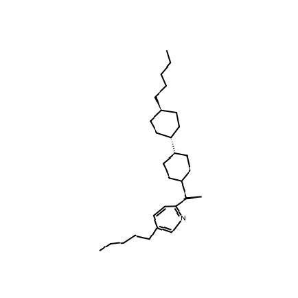 CCCCCc1ccc(C(C)C2CCC([C@H]3CC[C@H](CCCCC)CC3)CC2)nc1